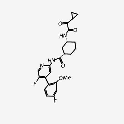 COc1cc(F)ccc1-c1cc(NC(=O)[C@H]2CCC[C@@H](NC(=O)C(=O)C3CC3)C2)ncc1F